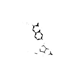 CC(=O)Nc1cc2ccc(O[C@@H]3O[C@H](COC(C)=O)[C@@H]4OC(=O)OC34)cc2oc1=O